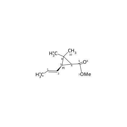 CC=C[C@@H]1C(C(=O)OC)C1(C)C